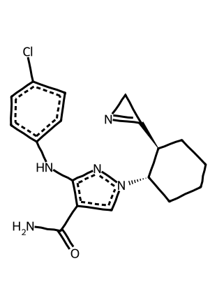 NC(=O)c1cn([C@H]2CCCC[C@@H]2C2=NC2)nc1Nc1ccc(Cl)cc1